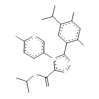 CC(C)NC(=O)c1nnc(-c2cc(C(C)C)c(O)cc2O)n1-c1ccc(N)nc1